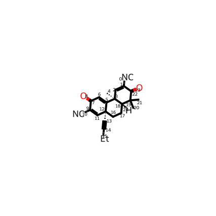 [C-]#[N+]C1=C[C@]2(C)C3=CC(=O)C(C#N)=C[C@]3(C#CCC)CC[C@H]2C(C)(C)C1=O